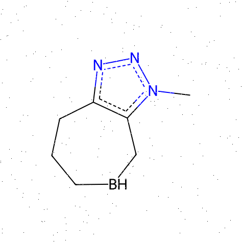 Cn1nnc2c1CBCCC2